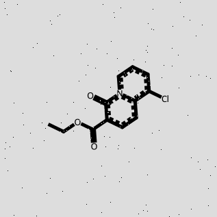 CCOC(=O)c1ccc2c(Cl)cccn2c1=O